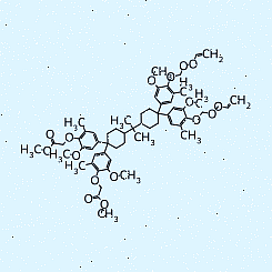 C=COOCOc1c(C)cc(C2(c3cc(C)c(OCOOC=C)c(OC)c3)CCC(C(C)(C)C3CCC(c4cc(C)c(OCC(=O)OC)c(OC)c4)(c4cc(C)c(OCC(=O)OC)c(OC)c4)CC3)CC2)cc1OC